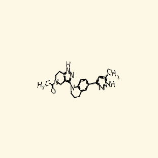 CC(=O)N1CCc2[nH]nc(N3CCCc4cc(-c5cc(C)[nH]n5)ccc43)c2C1